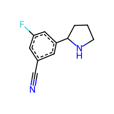 N#Cc1cc(F)cc(C2CCCN2)c1